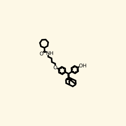 O=C(NCCCCOc1ccc(C(=C2C3CC4CC(C3)CC2C4)c2ccc(O)cc2)cc1)C1CCCCCC1